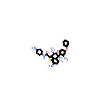 Cc1cc(Oc2ccccc2)ccc1C1(N)C(=O)C(N)c2c(C(=O)NC3CCC(N)CC3)sc3c(N)ccc1c23